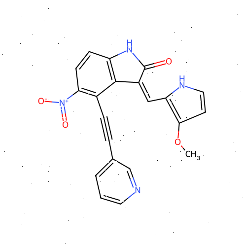 COc1cc[nH]c1/C=C1\C(=O)Nc2ccc([N+](=O)[O-])c(C#Cc3cccnc3)c21